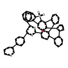 O=S1(=O)c2ccccc2-c2ccc3c(c21)-c1ccccc1C31c2ccccc2-c2ccccc2-c2ccc(-c3nc(-c4ccccc4)cc(-c4ccc(-c5cccnc5)cc4)n3)cc21